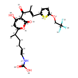 CC(=Cc1ccc(OCC(F)(F)F)s1)C(=O)c1c(O)cc(C(C)CCC=CNC(=O)O)oc1=O